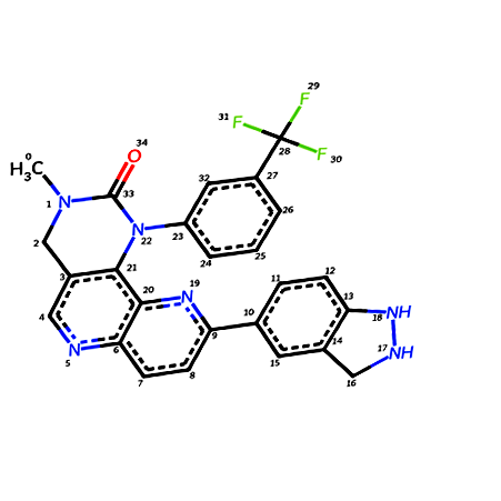 CN1Cc2cnc3ccc(-c4ccc5c(c4)CNN5)nc3c2N(c2cccc(C(F)(F)F)c2)C1=O